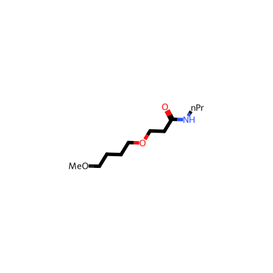 CCCNC(=O)CCOCCCCOC